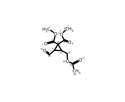 COC(=O)C1(C(=O)OC)C(C=O)C1COC(C)=O